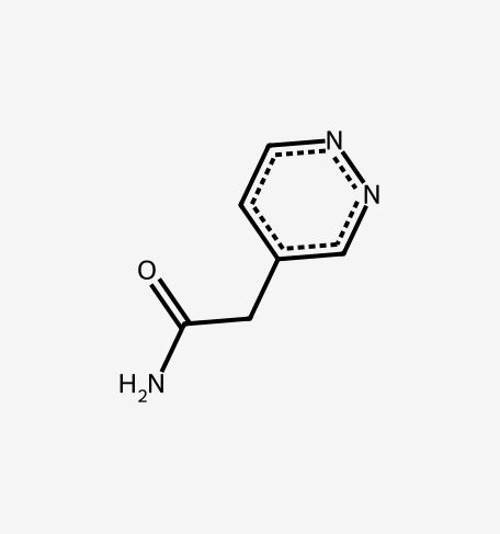 NC(=O)Cc1ccnnc1